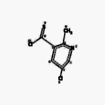 Cc1ncc(Cl)cc1C(=S)Cl